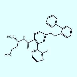 CSCC[C@H](NC(=O)c1ccc(CCc2ccccc2-c2ccccc2)cc1-c1ccccc1C)C(=O)O